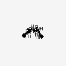 O=C(CN1C(=O)N[C@@H](CCCNC2=NCCN2)C1=O)NC[C@H](NC(=O)OCc1ccccc1)C(=O)O